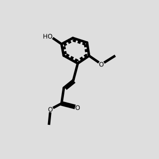 COC(=O)C=Cc1cc(O)ccc1OC